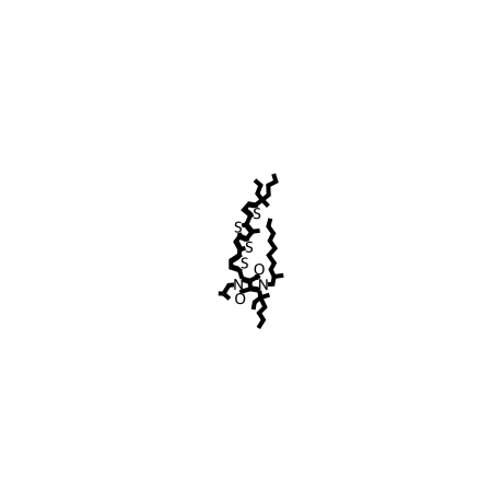 CCCCCCCCC(C)CN1C(=O)C2=C(c3ccc(-c4cc5sc(-c6ccc(C(C)(CCC)CCCC)s6)c(C)c5s4)s3)N(CC(C)C)C(=O)C2=C1C(C)(CC)CCCC